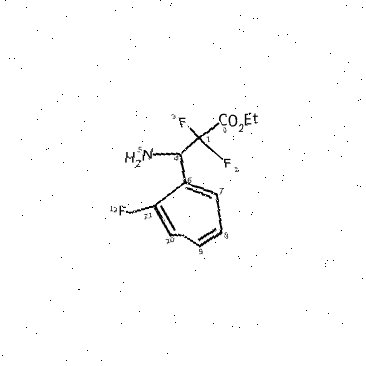 CCOC(=O)C(F)(F)C(N)c1ccccc1F